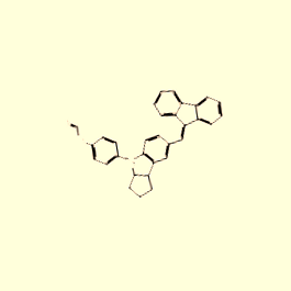 O=COc1ccc(N2c3ccc(C=C4c5ccccc5-c5ccccc54)cc3C3CCCC32)cc1